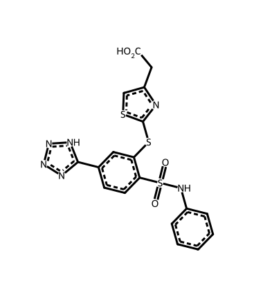 O=C(O)Cc1csc(Sc2cc(-c3nnn[nH]3)ccc2S(=O)(=O)Nc2ccccc2)n1